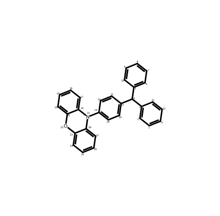 c1ccc(C(c2ccccc2)c2ccc(N3c4ccccc4Oc4ccccc43)cc2)cc1